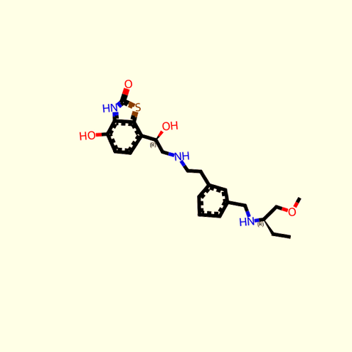 CC[C@H](COC)NCc1cccc(CCNC[C@H](O)c2ccc(O)c3[nH]c(=O)sc23)c1